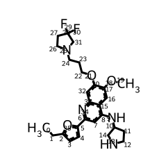 CCc1ccc(-c2cc(NC3CCNC3)c3cc(OC)c(OCCCN4CCC(F)(F)C4)cc3n2)o1